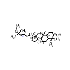 COC(C)(C)/C=C/CC[C@H]1CC[C@@]2(C)C3=C(CC[C@]12C)[C@@]1(C)CC[C@H](O)C(C)(C)C1CC3